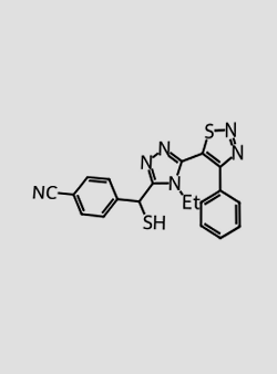 CCn1c(-c2snnc2-c2ccccc2)nnc1C(S)c1ccc(C#N)cc1